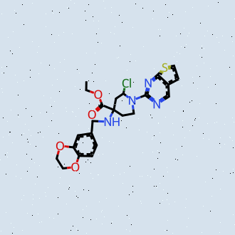 CCOC(=O)C1(NCc2ccc3c(c2)OCCO3)CCN(c2ncc3ccsc3n2)C(Cl)C1